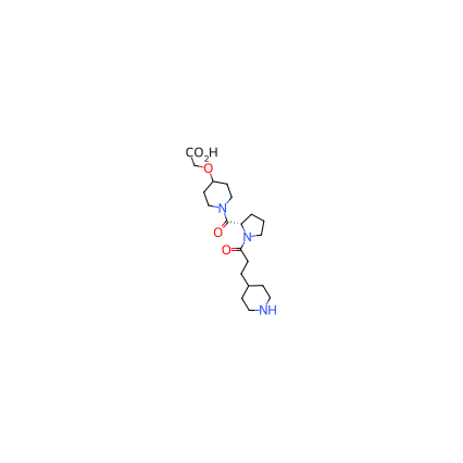 O=C(O)COC1CCN(C(=O)[C@@H]2CCCN2C(=O)CCC2CCNCC2)CC1